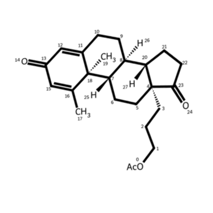 CC(=O)OCCC[C@]12CC[C@H]3[C@@H](CCC4=CC(=O)C=C(C)[C@@]43C)[C@@H]1CCC2=O